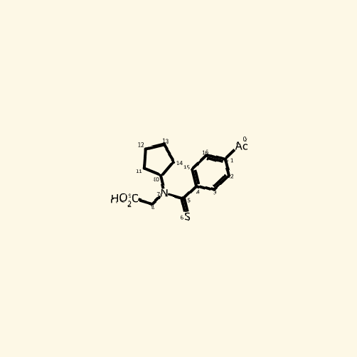 CC(=O)c1ccc(C(=S)N(CC(=O)O)C2CCCC2)cc1